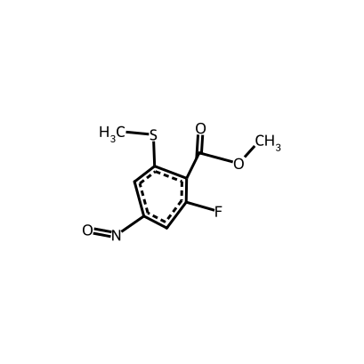 COC(=O)c1c(F)cc(N=O)cc1SC